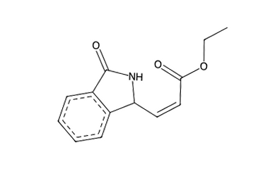 CCOC(=O)/C=C\C1NC(=O)c2ccccc21